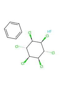 Cl[C@H]1[C@H](Cl)[C@@H](Cl)[C@@H](Cl)[C@H](Cl)[C@H]1Cl.F.c1ccccc1